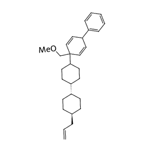 C=CC[C@H]1CC[C@H](C2CCC(C3(COC)C=CC(c4ccccc4)C=C3)CC2)CC1